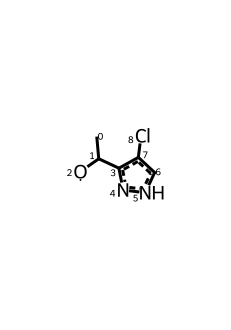 CC([O])c1n[nH]cc1Cl